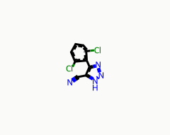 N#Cc1[nH]nnc1-c1c(Cl)cccc1Cl